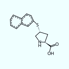 O=C(O)[C@@H]1C[C@@H](Sc2ccc3ccccc3c2)CN1